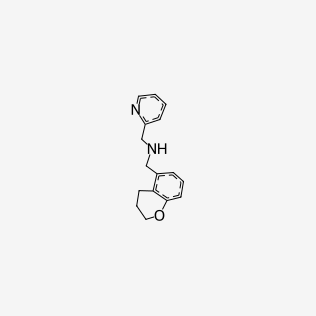 c1ccc(CNCc2cccc3c2CCCO3)nc1